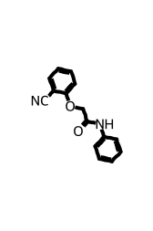 N#Cc1ccccc1OCC(=O)Nc1ccccc1